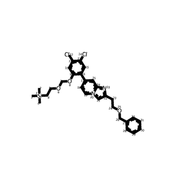 C[Si](C)(C)CCOCOc1cc(Cl)c(Cl)cc1-c1ccn2cc(CCOCc3ccccc3)nc2c1